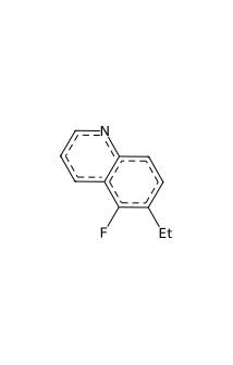 CCc1ccc2ncccc2c1F